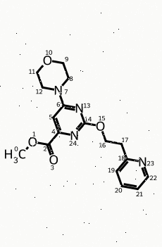 COC(=O)c1cc(N2CCOCC2)nc(OCCc2ccccn2)n1